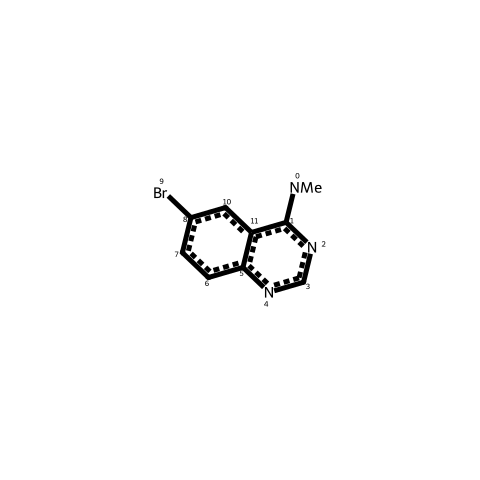 CNc1ncnc2ccc(Br)cc12